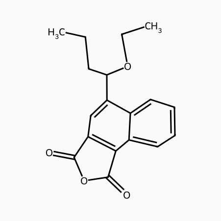 CCCC(OCC)c1cc2c(c3ccccc13)C(=O)OC2=O